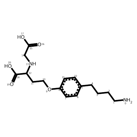 NCCCCc1ccc(OCCC(NCC(=O)O)C(=O)O)cc1